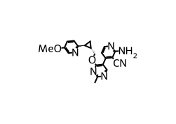 COc1ccc([C@H]2C[C@@H]2COc2nc(C)ncc2-c2ccnc(N)c2C#N)nc1